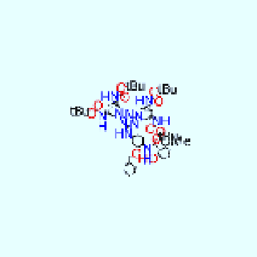 COc1cccc(O)c1C(=O)Nc1ccc(Nc2nc(N3C[C@H](NC(=O)OC(C)(C)C)C[C@H](NC(=O)OC(C)(C)C)C3)nc(N3C[C@H](NC(=O)OC(C)(C)C)C[C@H](NC(=O)OC(C)(C)C)C3)n2)cc1OCc1ccccc1